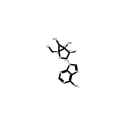 Nc1ncnc2c1ncn2[C@@H]1O[C@]2(CCl)C(O)[C@]2(O)[C@H]1F